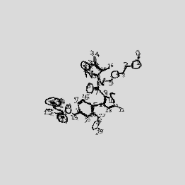 COCCOCN(C(=O)c1sc(C)cc1-c1ccc(COS(C)(=O)=O)cc1COC)c1noc(C)c1C